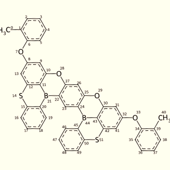 Cc1ccccc1Oc1cc2c3c(c1)Sc1ccccc1B3c1cc3c(cc1O2)Oc1cc(Oc2ccccc2C)cc2c1B3c1ccccc1S2